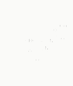 CC(C)(C)OC(=O)N1CC2CCC1C(C=O)N2C(=O)OCc1ccccc1